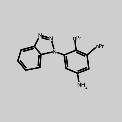 CCCc1cc(N)cc(-n2nnc3ccccc32)c1CCC